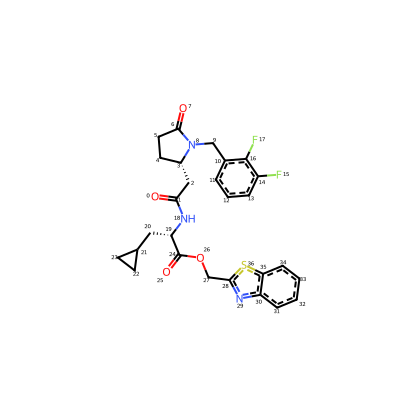 O=C(C[C@@H]1CCC(=O)N1Cc1cccc(F)c1F)N[C@@H](CC1CC1)C(=O)OCc1nc2ccccc2s1